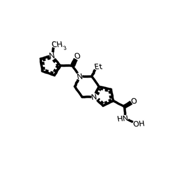 CCC1c2cc(C(=O)NO)cn2CCN1C(=O)c1cccn1C